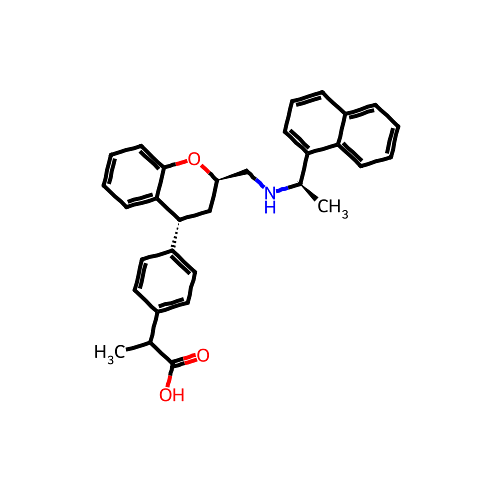 CC(C(=O)O)c1ccc([C@H]2C[C@H](CN[C@H](C)c3cccc4ccccc34)Oc3ccccc32)cc1